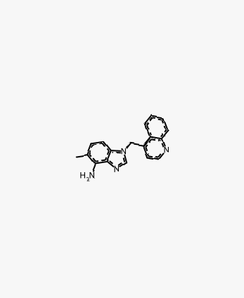 Cc1ccc2c(ncn2Cc2ccnc3ccccc23)c1N